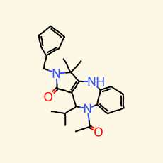 CC(=O)N1c2ccccc2NC2=C(C(=O)N(Cc3ccccc3)C2(C)C)C1C(C)C